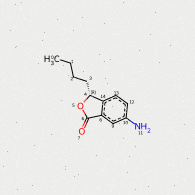 CCCC[C@H]1OC(=O)c2cc(N)ccc21